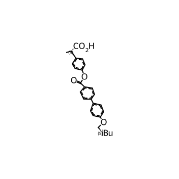 CC[C@H](C)COc1ccc(-c2ccc(C(=O)Oc3ccc([C@H](C)C(=O)O)cc3)cc2)cc1